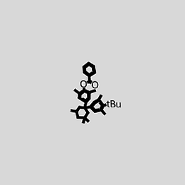 Cc1cc(C2(c3cc(C)c(C(C)(C)C)c(C)c3)CC(C)CC(C)(C)C2)cc(C)c1OC(=O)c1ccccc1